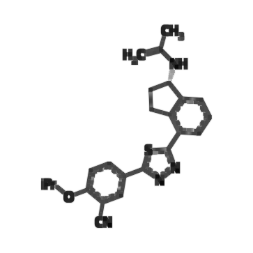 C=C(C)N[C@H]1CCc2c(-c3nnc(-c4ccc(OC(C)C)c(C#N)c4)s3)cccc21